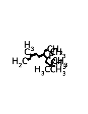 C=C/C(C)=C\C=C(/C=C)C(CC(C)(C)C)P(C)C